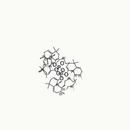 CC[C@@H](C)CC[C@H]1[C@@H](C)CC=C2C(C)(C)CC=C(OP(=O)(OC3=CCC(C)(C)C4=CC[C@H](C)[C@H](CC[C@H](C)CC)[C@@]34C)OP(=O)(OC3=CCC(C)(C)C4=CC[C@H](C)[C@H](CC[C@H](C)CC)[C@@]34C)OC3=CCC(C)(C)C4=CC[C@H](C)[C@H](CC[C@H](C)CC)[C@@]34C)[C@@]21C